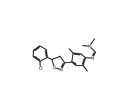 Cc1cc(C2=NOC(c3ccccc3Cl)C2)c(C)cc1/N=C\N(C)C